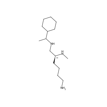 CN[C@@H](CCCCN)CNC(C)C1CCCCC1